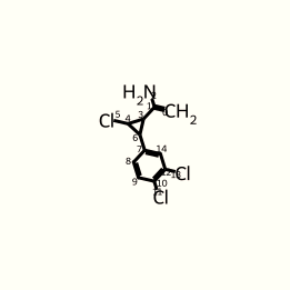 C=C(N)C1C(Cl)C1c1ccc(Cl)c(Cl)c1